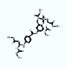 CC(C)(C)OC(=O)C[C@H](NS(=O)(=O)N(Cc1cccc(OC(=O)c2ccc(NC(=NC(=O)OC(C)(C)C)NC(=O)OC(C)(C)C)cc2)c1)C(=O)OC(C)(C)C)C(=O)OC(C)(C)C